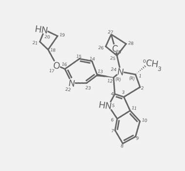 C[C@@H]1Cc2c([nH]c3ccccc23)[C@@H](c2ccc(OC3CNC3)nc2)N1C12CC(C1)C2